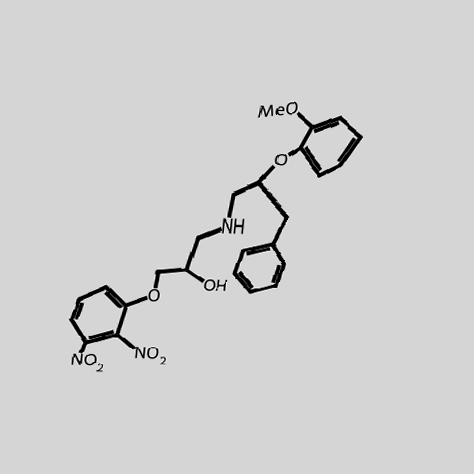 COc1ccccc1OC(CNCC(O)COc1cccc([N+](=O)[O-])c1[N+](=O)[O-])Cc1ccccc1